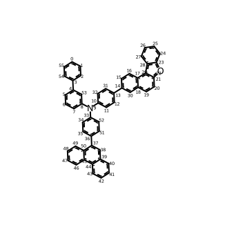 c1ccc(-c2cccc(N(c3ccc(-c4ccc5c(ccc6oc7ccccc7c65)c4)cc3)c3ccc(-c4cc5ccccc5c5ccccc45)cc3)c2)cc1